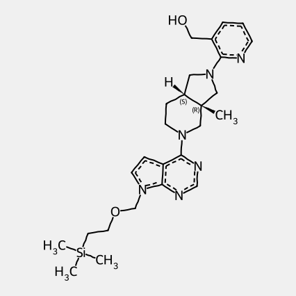 C[C@]12CN(c3ncccc3CO)C[C@H]1CCN(c1ncnc3c1ccn3COCC[Si](C)(C)C)C2